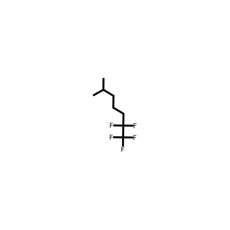 CC(C)CCCC(F)(F)C(F)(F)F